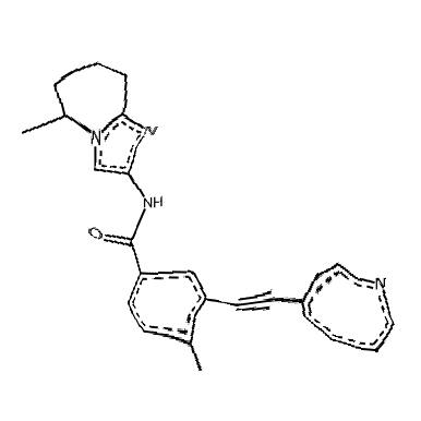 Cc1ccc(C(=O)Nc2cn3c(n2)CCCC3C)cc1C#Cc1cccnc1